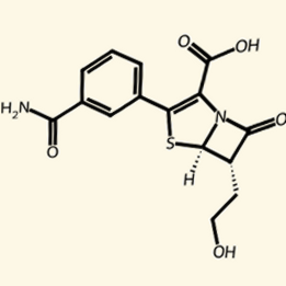 NC(=O)c1cccc(C2=C(C(=O)O)N3C(=O)[C@H](CCO)[C@H]3S2)c1